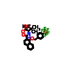 CC(C)(C)C(NC(=O)c1ccc2ccccc2c1OCc1ccc(S(F)(F)(F)(F)F)cc1)C(=O)O